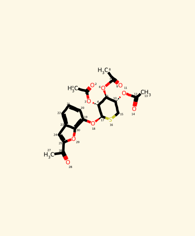 CC(=O)O[C@@H]1[C@@H](OC(C)=O)[C@H](OC(C)=O)CS[C@H]1Oc1cccc2cc(C(C)=O)oc12